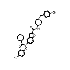 N#Cc1ccc(CN2CCC(NC(=O)c3cc4cc(N(Oc5ccc(C#N)cc5)C(=O)C5CCCCC5)ccc4o3)CC2)cc1